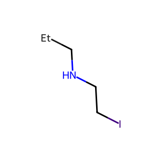 CCCNCCI